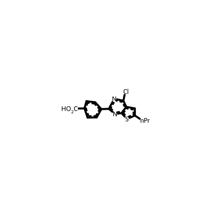 CCCc1cc2c(Cl)nc(-c3ccc(C(=O)O)cc3)nc2s1